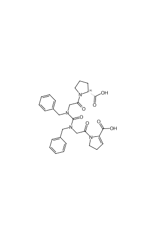 O=C(O)C1=CCCN1C(=O)CN(Cc1ccccc1)C(=O)N(CC(=O)N1CCC[C@@H]1C(=O)O)Cc1ccccc1